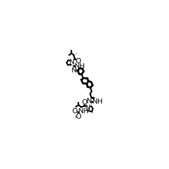 COC(=O)N[C@H](C(=O)N1CCC[C@H]1c1nc(CCc2ccc3cc(-c4ccc5[nH]c([C@@H]6CCCN6C(=O)[C@@H](C)C(C)C)nc5c4)ccc3c2)c[nH]1)C(C)C